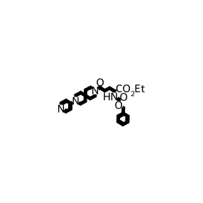 CCOC(=O)[C@H](CCC(=O)N1CCC2(CC1)CCN(c1ccncc1)CC2)NC(=O)OCc1ccccc1